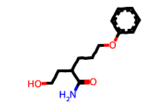 NC(=O)C(CCO)CCCOc1ccccc1